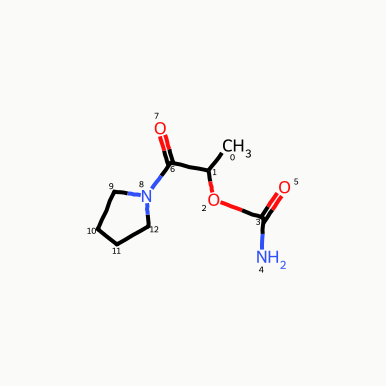 CC(OC(N)=O)C(=O)N1CCCC1